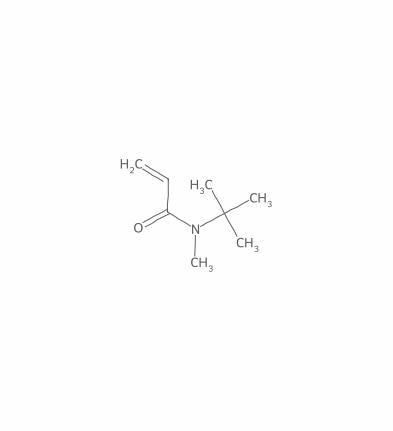 C=CC(=O)N(C)C(C)(C)C